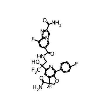 C[C@]1(C(N)=O)COc2c1cc([C@@](O)(CNC(=O)c1cc(F)c3nc(C(N)=O)cn3c1)C(F)(F)F)nc2-c1ccc(F)cc1